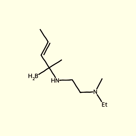 BC(C)(C=CC)NCCN(C)CC